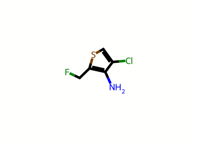 Nc1c(Cl)csc1CF